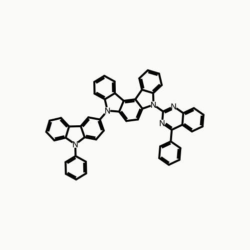 c1ccc(-c2nc(-n3c4ccccc4c4c5c6ccccc6n(-c6ccc7c(c6)c6ccccc6n7-c6ccccc6)c5ccc43)nc3ccccc23)cc1